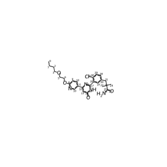 CCCCOCCOc1ccc(-c2cc(=O)[nH]c(-c3cc(CC(C)(C)C(N)=O)ccc3Cl)n2)cn1